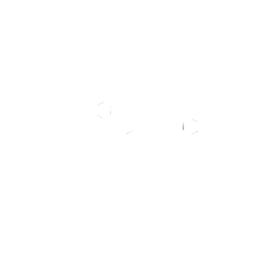 CCCCCCc1ccccc1C(CCCCCCCc1ccccc1)OC(=O)O